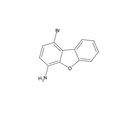 Nc1ccc(Br)c2c1oc1ccccc12